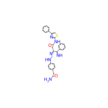 N=C(/C(=N\CNc1ccc(C2OC2N)cc1)C1OC1Nc1nc(-c2ccccc2)cs1)c1ccccc1